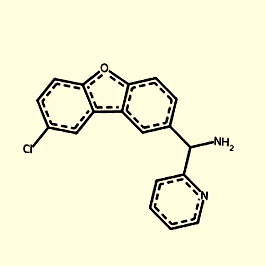 NC(c1ccc2oc3ccc(Cl)cc3c2c1)c1ccccn1